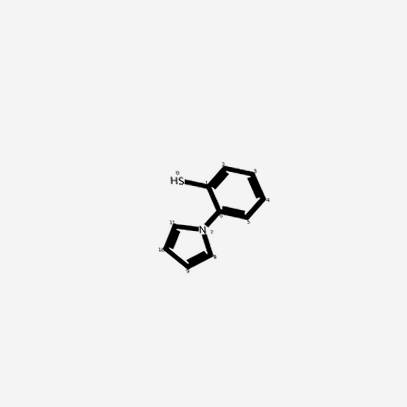 Sc1ccccc1-n1cccc1